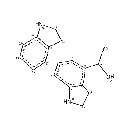 CC(O)c1cccc2c1CCN2.c1ccc2c(c1)CCN2